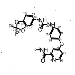 CNC(=O)c1cc(Oc2ccc(NC(=O)Nc3ccc4c(c3)OC(F)(F)O4)cc2)ccn1